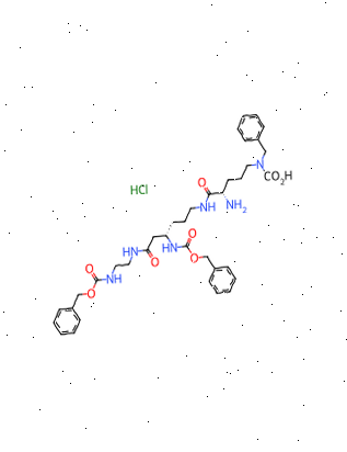 Cl.N[C@@H](CCCN(Cc1ccccc1)C(=O)O)C(=O)NCCC[C@@H](CC(=O)NCCNC(=O)OCc1ccccc1)NC(=O)OCc1ccccc1